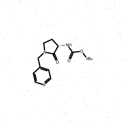 CC(C)(C)OC(=O)N[C@H]1CCN(Cc2ccncc2)C1=O